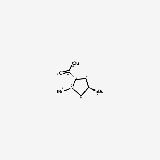 CCCC[C@@H]1C[C@@H](C(=O)C(C)(C)C)N(C(C)(C)C)C1